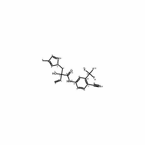 C=CC(O)(Cn1cc(C)cn1)C(=O)Nc1ccc(C#N)c(C(F)(F)F)c1